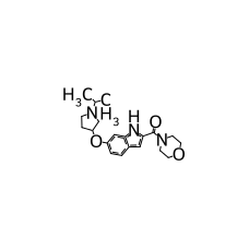 CC(C)N1CCC(Oc2ccc3cc(C(=O)N4CCOCC4)[nH]c3c2)C1